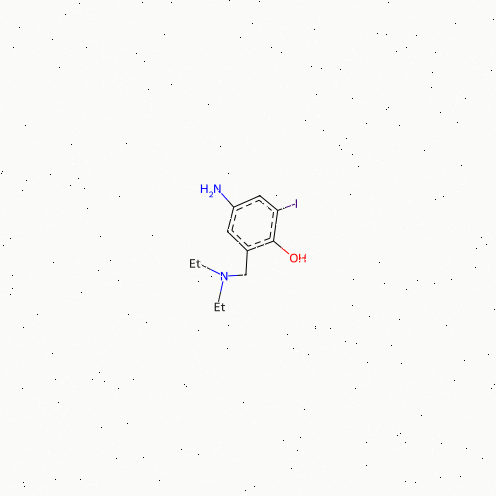 CCN(CC)Cc1cc(N)cc(I)c1O